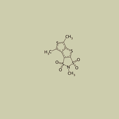 Cc1sc(C)c2c3c(sc12)S(=O)(=O)N(C)S3(=O)=O